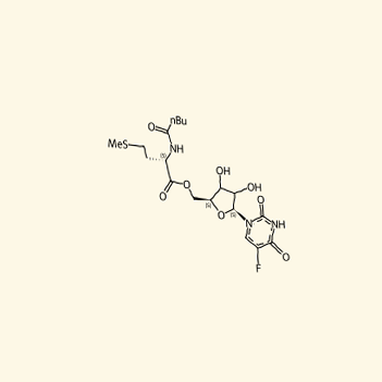 CCCCC(=O)N[C@@H](CCSC)C(=O)OC[C@@H]1O[C@H](n2cc(F)c(=O)[nH]c2=O)C(O)C1O